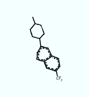 CC1CCC(c2ccc3cc(C(F)(F)F)ccc3c2)CC1